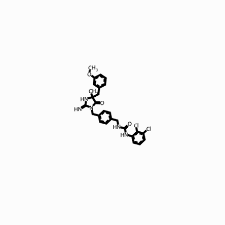 COc1cccc(CC2(C)NC(=N)N(Cc3ccc(CNC(=O)Nc4cccc(Cl)c4Cl)cc3)C2=O)c1